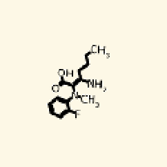 CCCCC(N)=C(C(=O)O)N(C)c1ccccc1F